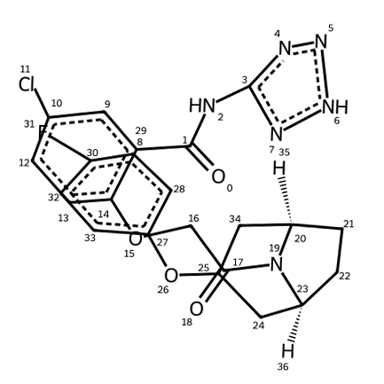 O=C(Nc1nn[nH]n1)c1cc(Cl)ccc1OCC(=O)N1[C@@H]2CC[C@H]1CC(Oc1ccc(F)cc1)C2